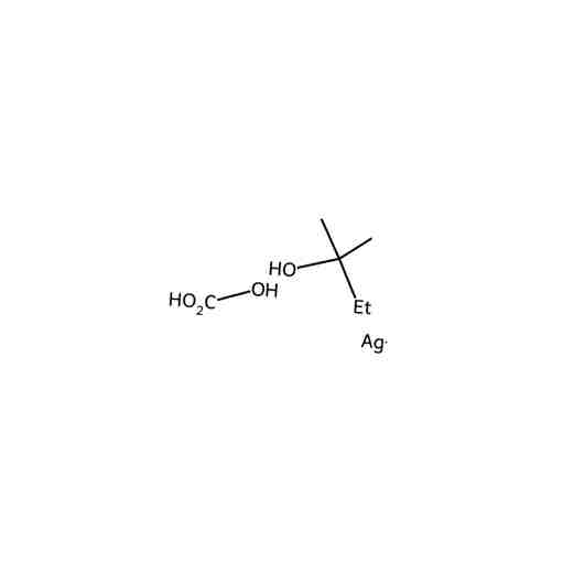 CCC(C)(C)O.O=C(O)O.[Ag]